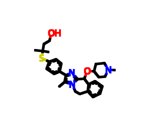 Cc1c(-c2ccc(SC(C)(C)CCO)cc2)nc2n1CCc1ccccc1C2OC1CCN(C)CC1